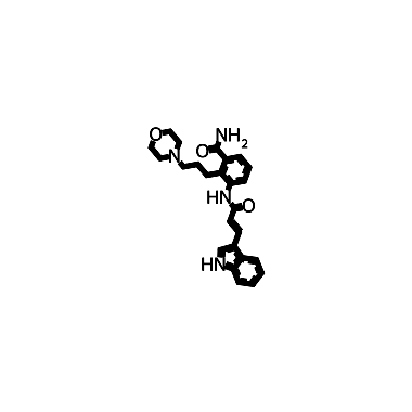 NC(=O)c1cccc(NC(=O)C=Cc2c[nH]c3ccccc23)c1CCCN1CCOCC1